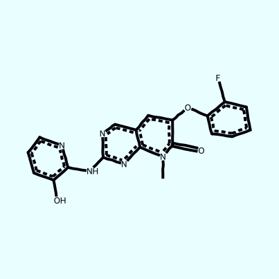 Cn1c(=O)c(Oc2ccccc2F)cc2cnc(Nc3ncccc3O)nc21